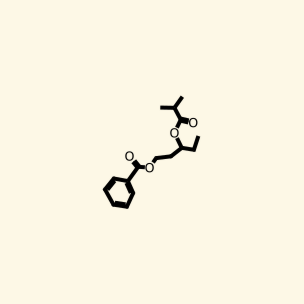 CCC(CCOC(=O)c1ccccc1)OC(=O)C(C)C